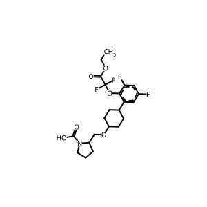 CCOC(=O)C(F)(F)Oc1c(F)cc(F)cc1C1CCC(OCC2CCCN2C(=O)O)CC1